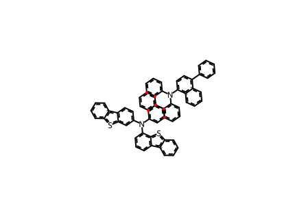 c1ccc(-c2ccccc2N(c2ccccc2-c2cccc(N(c3ccc4c(c3)sc3ccccc34)c3cccc4c3sc3ccccc34)c2)c2ccc(-c3ccccc3)c3ccccc23)cc1